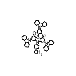 Cc1ccc(N2c3cc(-n4c5ccccc5c5ccccc54)cc4c3B3c5c(cc(-n6c7ccccc7c7ccccc76)cc5Oc5cc(-n6c7ccccc7c7ccccc76)cc2c53)O4)cc1